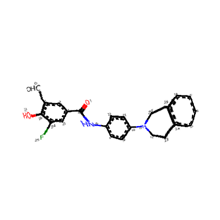 O=Cc1cc(C(=O)Nc2ccc(N3CCc4ccccc4C3)cc2)cc(F)c1O